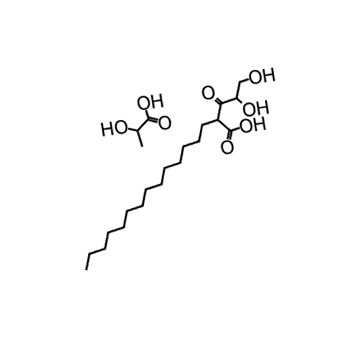 CC(O)C(=O)O.CCCCCCCCCCCCCCC(C(=O)O)C(=O)C(O)CO